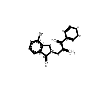 C=C(CN1Cc2c(Br)cccc2C1=O)C(=O)C1=CCCC=C1